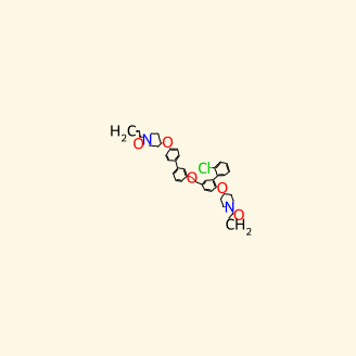 C=CC(=O)N1CCC(Oc2ccc(-c3cccc(OCc4ccc(OC5CCN(C(=O)C=C)CC5)c(-c5ccccc5Cl)c4)c3)cc2)CC1